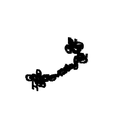 COc1cc(-c2cn(C)c(=O)c3c2CCN(C(=O)NCC2CC4(CCN(CCOc5ccc6c(c5)C(=O)N(C5CCC(=O)NC5=O)C6=O)CC4)CO2)C3)cc(OC)c1CN(C)C